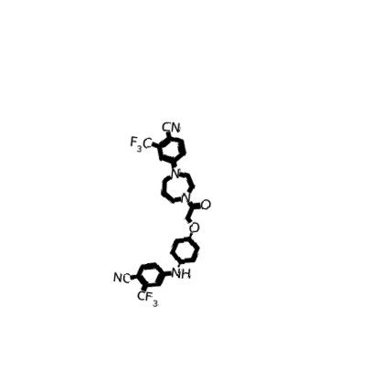 N#Cc1ccc(N[C@H]2CC[C@H](OCC(=O)N3CCCN(c4ccc(C#N)c(C(F)(F)F)c4)CC3)CC2)cc1C(F)(F)F